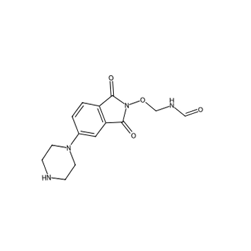 O=CNCON1C(=O)c2ccc(N3CCNCC3)cc2C1=O